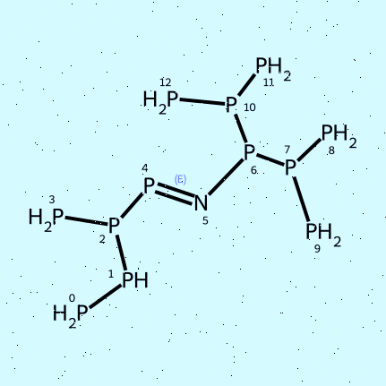 PPP(P)/P=N/P(P(P)P)P(P)P